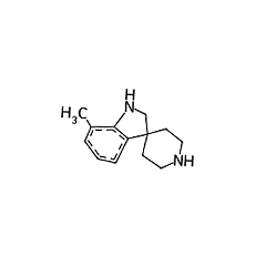 Cc1cccc2c1NCC21CCNCC1